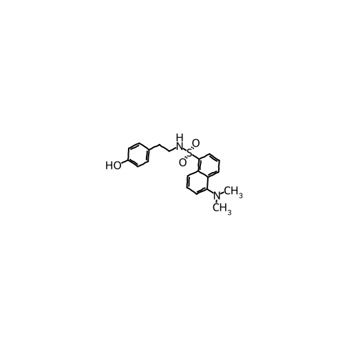 CN(C)c1cccc2c(S(=O)(=O)NCCc3ccc(O)cc3)cccc12